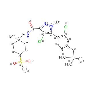 CCn1nc(C(=O)NC[C@]2(C#N)CC[C@H](S(C)(=O)=O)CC2)c(Cl)c1-c1ccc(CC(C)(C)C(F)(F)F)cc1Cl